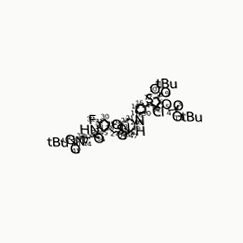 CC(C)(C)OC(=O)COc1c(C(=O)OC(C)(C)C)sc(-c2cccc(N[C@@H]3CCN(S(=O)(=O)Cc4ccc(F)c(NC(=O)C5CN(C(=O)OC(C)(C)C)C5)c4)C(C)(C)C3)c2)c1Cl